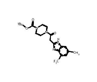 Cc1cc(C(F)(F)F)c2nc(CC(=O)N3CCN(C(=O)OC(C)(C)C)CC3)[nH]c2c1